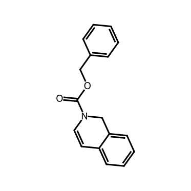 O=C(OCc1ccccc1)N1C=Cc2ccccc2C1